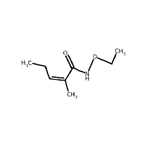 CCC=C(C)C(=O)NOCC